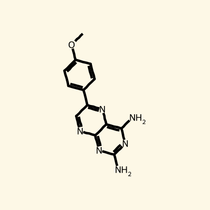 COc1ccc(-c2cnc3nc(N)nc(N)c3n2)cc1